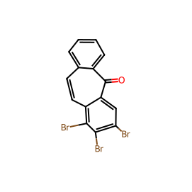 O=c1c2ccccc2ccc2c(Br)c(Br)c(Br)cc12